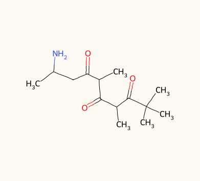 CC(N)CC(=O)C(C)C(=O)C(C)C(=O)C(C)(C)C